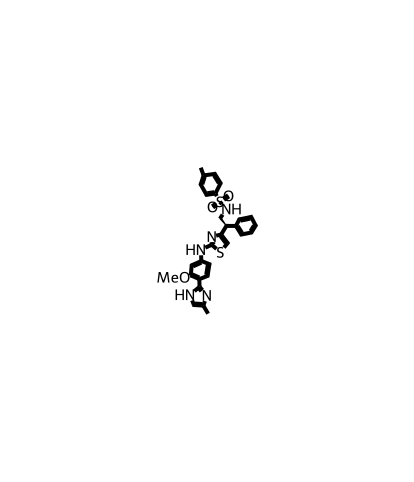 COc1cc(Nc2nc([C@@H](CNS(=O)(=O)c3ccc(C)cc3)c3ccccc3)cs2)ccc1-c1nc(C)c[nH]1